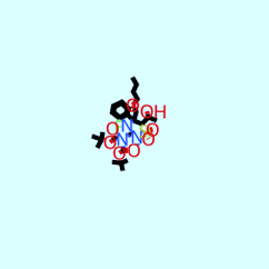 CCCCOCC1(c2ccccc2F)N=C(N(C(=O)OC(C)(C)C)C(=O)OC(C)(C)C)N(C)S(=O)(=O)C1C(C)O